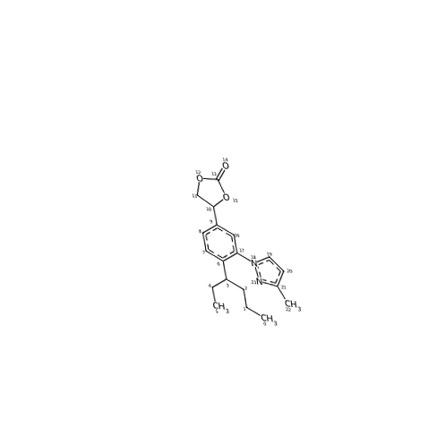 CCCC(CC)c1ccc(C2COC(=O)O2)cc1-n1ccc(C)n1